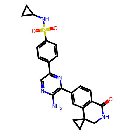 Nc1ncc(-c2ccc(S(=O)(=O)NC3CC3)cc2)nc1-c1ccc2c(c1)C1(CC1)CNC2=O